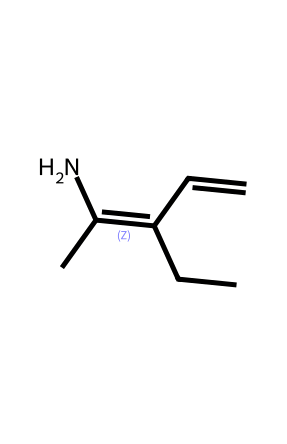 C=C/C(CC)=C(/C)N